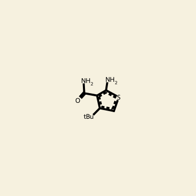 CC(C)(C)c1csc(N)c1C(N)=O